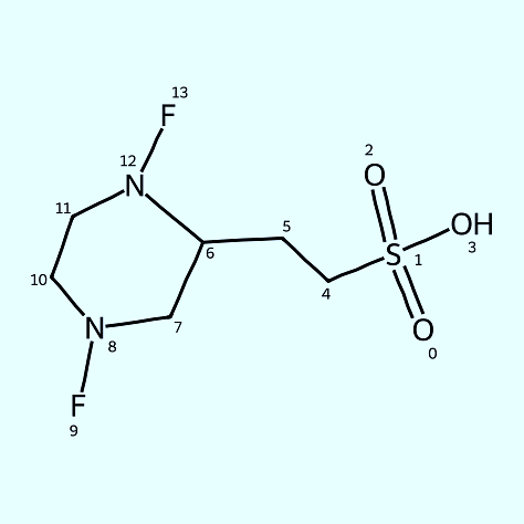 O=S(=O)(O)CCC1CN(F)CCN1F